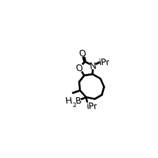 BC1(C(C)C)CCCCC2C(CC1C)OC(=O)N2C(C)C